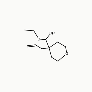 C=CCC1(C(O)OCC)CCOCC1